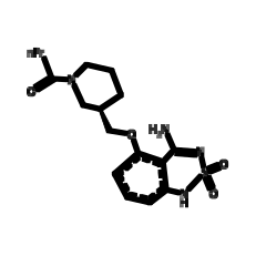 CCCC(=O)N1CCC[C@@H](COc2cccc3c2C(N)=NS(=O)(=O)N3)C1